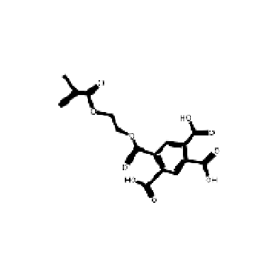 C=C(C)C(=O)OCCOC(=O)c1cc(C(=O)O)c(C(=O)O)cc1C(=O)O